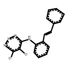 Clc1nnnc(Nc2ccccc2C=Cc2ccccc2)c1Cl